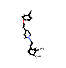 COc1ccc(CCN2CCC(CCOc3ccc(C)cc3)CC2)cc1OC